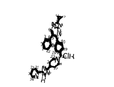 Cl.c1ccc(-c2cn3nc(C4CC4)nc3nc2-c2ccc(CN3CCC(c4n[nH]c(-c5ccccn5)n4)CC3)cc2)cc1